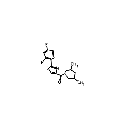 CC1CC(C)CN(C(=O)c2csc(-c3ccc(F)cc3F)n2)C1